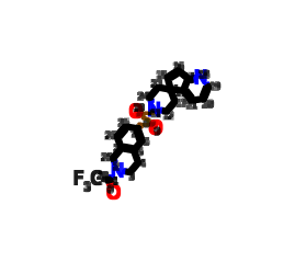 O=C(N1CCc2cc(S(=O)(=O)N3CCC4(C=Cc5ncccc54)CC3)ccc2C1)C(F)(F)F